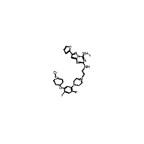 Nc1nc(NCCN2CCN(c3cc(OC4CC[S+]([O-])CC4)c(F)cc3F)CC2)nc2cc(-c3ccco3)nn12